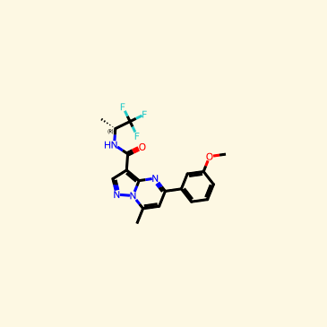 COc1cccc(-c2cc(C)n3ncc(C(=O)N[C@H](C)C(F)(F)F)c3n2)c1